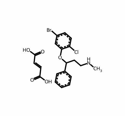 CNCCC(Oc1cc(Br)ccc1Cl)c1ccccc1.O=C(O)C=CC(=O)O